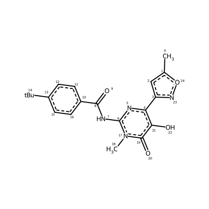 Cc1cc(-c2nc(NC(=O)c3ccc(C(C)(C)C)cc3)n(C)c(=O)c2O)no1